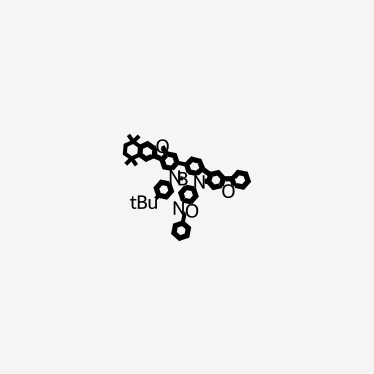 CC(C)(C)c1ccc(N2B3c4cc5nc(-c6ccccc6)oc5cc4-n4c5cc6oc7ccccc7c6cc5c5ccc(c3c54)-c3cc4oc5cc6c(cc5c4cc32)C(C)(C)CCC6(C)C)cc1